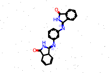 O=C1N/C(=N\c2cccc(/N=C3\NC(=O)C4C=CC=CC34)c2)c2ccccc21